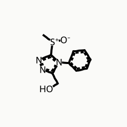 C[S+]([O-])c1nnc(CO)n1-c1ccccc1